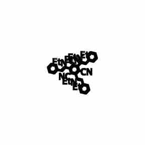 CCN(CC)C(=Cc1ccccc1)c1c(C#N)c(C(=Cc2ccccc2)N(CC)CC)c(C#N)c(C(=Cc2ccccc2)N(CC)CC)c1C#N